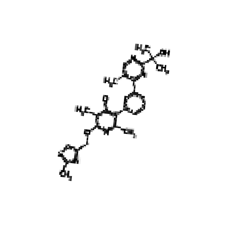 Cc1nc(COc2nc(C)n(-c3cccc(-c4nc(C(C)(C)O)ncc4C)c3)c(=O)c2C)cs1